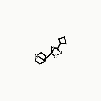 C1CC(c2noc(C3CN4CCC3CC4)n2)C1